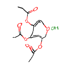 CC(=O)OC1=COCC(OC(C)=O)=C1OC(C)=O.Cl